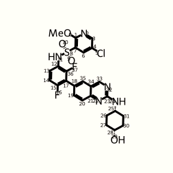 COc1ncc(Cl)cc1S(=O)(=O)Nc1ccc(F)c(-c2ccc3nc(N[C@H]4CC[C@@H](O)CC4)ncc3c2)c1F